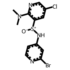 CN(C)c1ncc(Cl)cc1[S+]([O-])Nc1ccnc(Br)c1